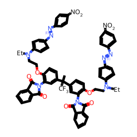 CCN(CCOc1ccc(C(C)(c2ccc(OCCN(CC)c3ccc(/N=N/c4ccc([N+](=O)[O-])cc4)cc3)c(N3C(=O)c4ccccc4C3=O)c2)C(F)(F)F)cc1N1C(=O)c2ccccc2C1=O)c1ccc(/N=N/c2ccc([N+](=O)[O-])cc2)cc1